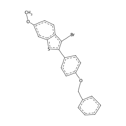 COc1ccc2c(Br)c(-c3ccc(OCc4ccccc4)cc3)sc2c1